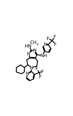 CNc1nc2c(c(Nc3ccc(C(F)(F)F)nc3)n1)CCN(c1ncccc1C(F)(F)F)C(C1CCCCC1)C2